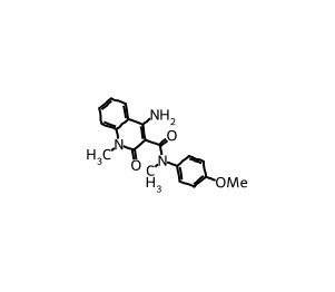 COc1ccc(N(C)C(=O)c2c(N)c3ccccc3n(C)c2=O)cc1